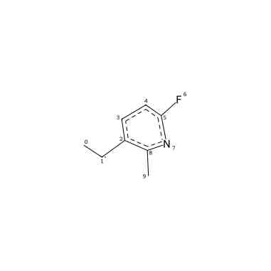 C[CH]c1ccc(F)nc1C